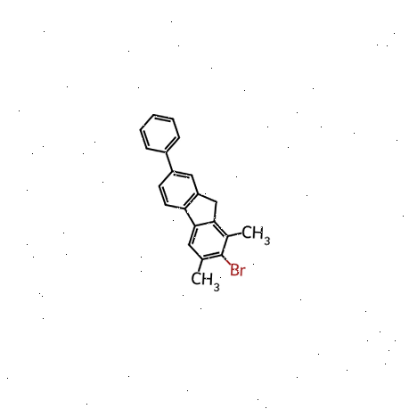 Cc1cc2c(c(C)c1Br)Cc1cc(-c3ccccc3)ccc1-2